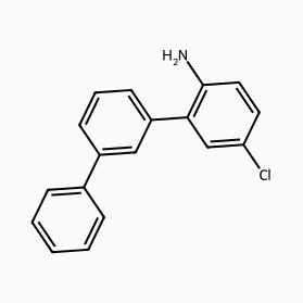 Nc1ccc(Cl)cc1-c1cccc(-c2ccccc2)c1